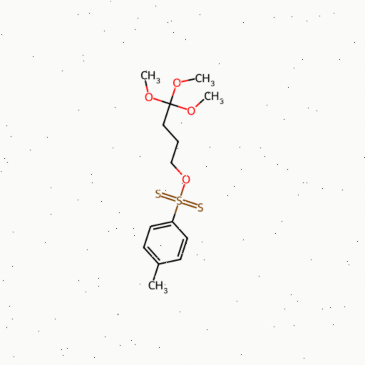 COC(CCCOS(=S)(=S)c1ccc(C)cc1)(OC)OC